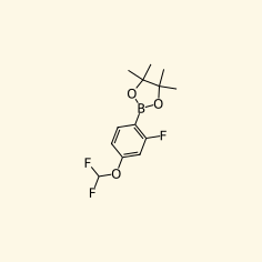 CC1(C)OB(c2ccc(OC(F)F)cc2F)OC1(C)C